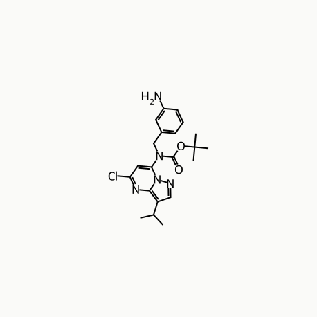 CC(C)c1cnn2c(N(Cc3cccc(N)c3)C(=O)OC(C)(C)C)cc(Cl)nc12